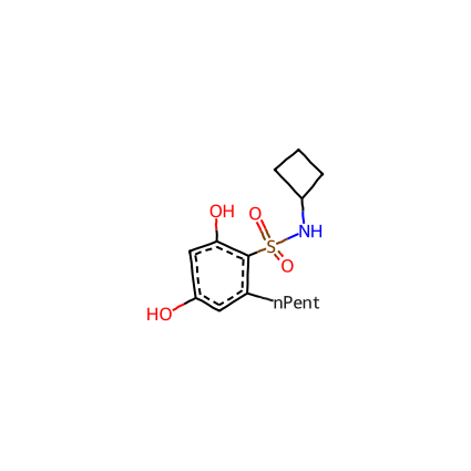 CCCCCc1cc(O)cc(O)c1S(=O)(=O)NC1CCC1